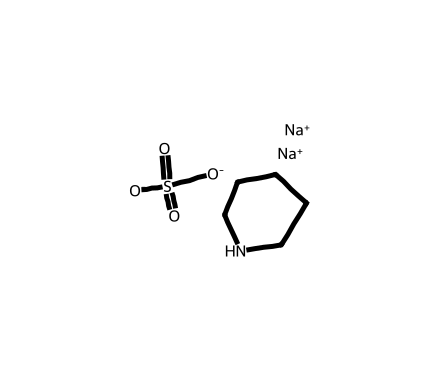 C1CCNCC1.O=S(=O)([O-])[O-].[Na+].[Na+]